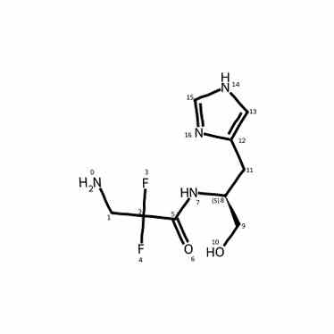 NCC(F)(F)C(=O)N[C@H](CO)Cc1c[nH]cn1